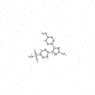 Nc1ccc(-c2nc(C(F)(F)F)nn2-c2ccc(S(N)(=O)=O)cn2)cc1